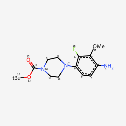 COc1c(N)ccc(N2CCN(C(=O)OC(C)(C)C)CC2)c1F